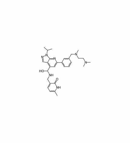 Cc1ccc(CNC(O)c2cc(-c3cccc(CN(C)CCN(C)C)c3)nc3c2cnn3C(C)C)c(=O)[nH]1